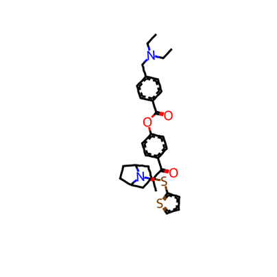 CCN(CC)Cc1ccc(C(=O)Oc2ccc(C(=O)C(C)N3C4CCC3CC(Sc3cccs3)C4)cc2)cc1